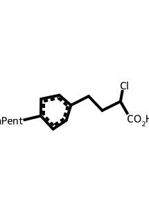 CCCCCc1ccc(CCC(Cl)C(=O)O)cc1